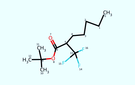 CCCCCC(C(=O)OC(C)(C)C)C(F)(F)F